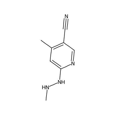 CNNc1cc(C)c(C#N)cn1